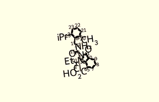 CCC(Cl)n1c2c(C(=O)O)cccc2c(=O)n1C(=O)NCc1c(C)cccc1C(C)C